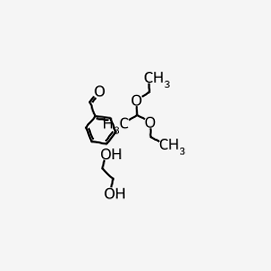 CCOC(C)OCC.O=Cc1ccccc1.OCCO